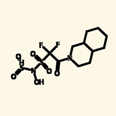 O=C(N1CCC2CCCCC2C1)C(F)(F)S(=O)(=O)N(O)[SH](=O)=O